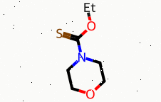 CCOC(=S)N1CCOCC1